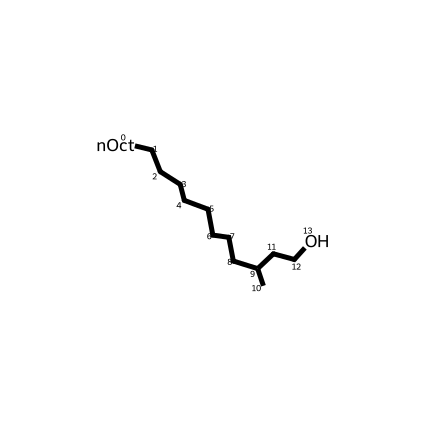 CCCCCCCCCCCCCCCCC(C)CCO